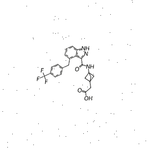 O=C(O)CC12CC(NC(=O)c3n[nH]c4cccc(Cc5ccc(C(F)(F)F)cc5)c34)(C1)C2